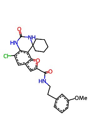 COc1cccc(CCNC(=O)c2cc3cc(Cl)c4c(c3o2)C2(CCCCC2)NC(=O)N4)c1